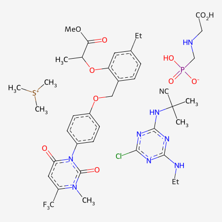 CCNc1nc(Cl)nc(NC(C)(C)C#N)n1.CCc1ccc(COc2ccc(-n3c(=O)cc(C(F)(F)F)n(C)c3=O)cc2)c(OC(C)C(=O)OC)c1.C[S+](C)C.O=C(O)CNCP(=O)([O-])O